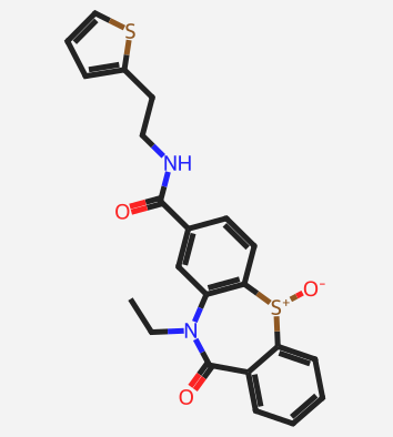 CCN1C(=O)c2ccccc2[S+]([O-])c2ccc(C(=O)NCCc3cccs3)cc21